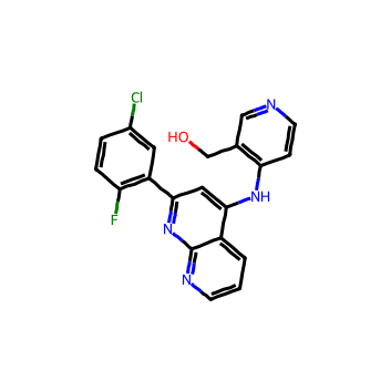 OCc1cnccc1Nc1cc(-c2cc(Cl)ccc2F)nc2ncccc12